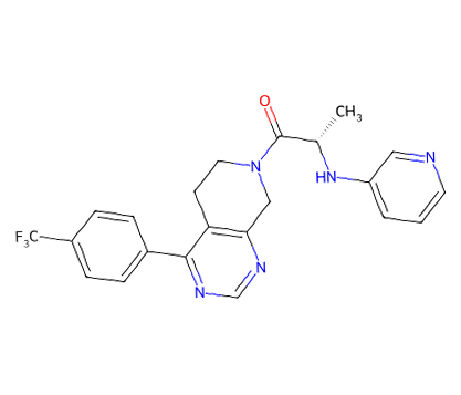 C[C@H](Nc1cccnc1)C(=O)N1CCc2c(ncnc2-c2ccc(C(F)(F)F)cc2)C1